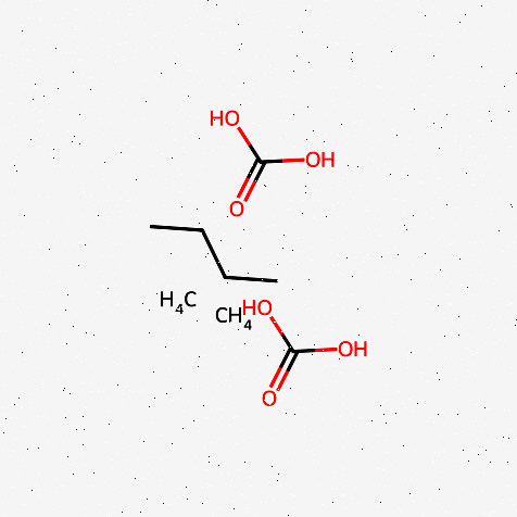 C.C.CCCC.O=C(O)O.O=C(O)O